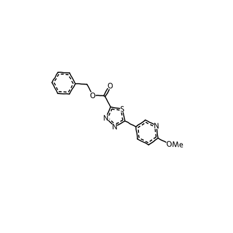 COc1ccc(-c2nnc(C(=O)OCc3ccccc3)s2)cn1